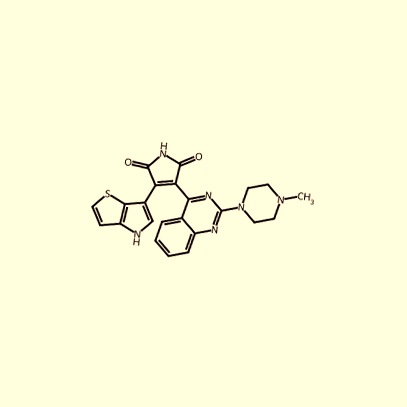 CN1CCN(c2nc(C3=C(c4c[nH]c5ccsc45)C(=O)NC3=O)c3ccccc3n2)CC1